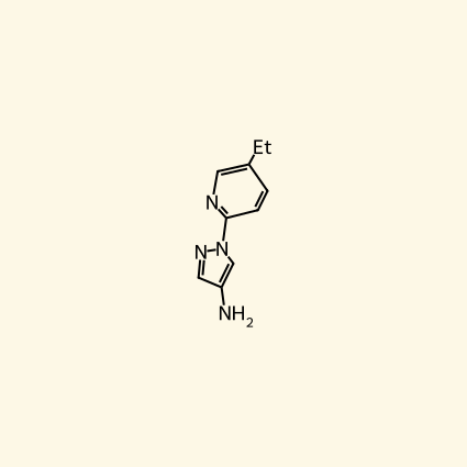 CCc1ccc(-n2cc(N)cn2)nc1